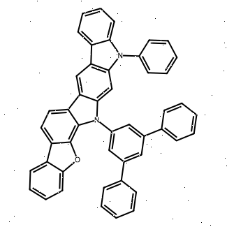 c1ccc(-c2cc(-c3ccccc3)cc(-n3c4cc5c(cc4c4ccc6c7ccccc7oc6c43)c3ccccc3n5-c3ccccc3)c2)cc1